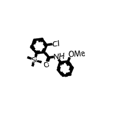 COc1ccccc1NC(=O)c1c(Cl)cccc1[Si](C)(C)C